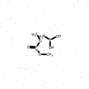 CO[PH](=O)OC.NP(O)O